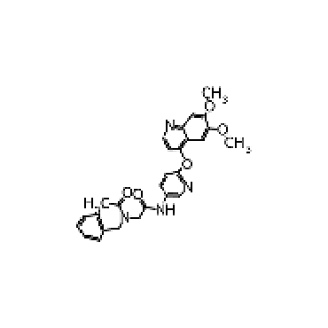 COc1cc2nccc(Oc3ccc(NC(=O)CN(Cc4ccccc4)C(C)=O)cn3)c2cc1OC